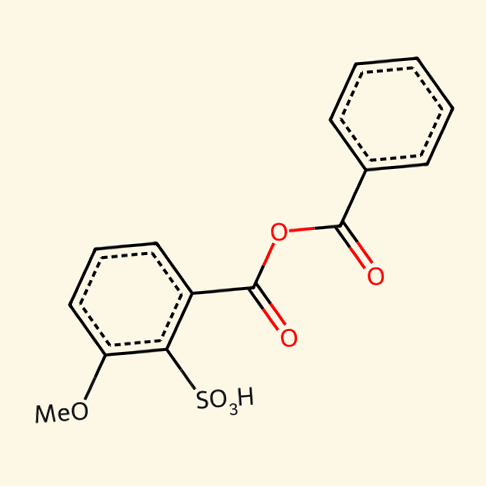 COc1cccc(C(=O)OC(=O)c2ccccc2)c1S(=O)(=O)O